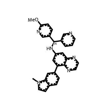 COc1ccc([C@H](Nc2cc(-c3ccc4ccn(C)c4c3)c3nccnc3c2)c2cccnc2)cn1